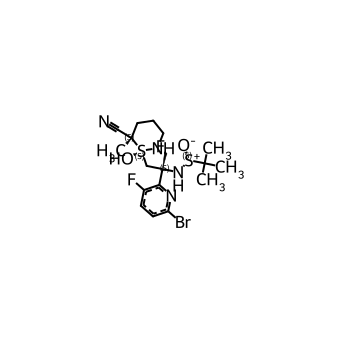 CC(C)(C)[S@@+]([O-])N[C@@](CF)(C[S@@]1(O)NCCC[C@@]1(C)C#N)c1nc(Br)ccc1F